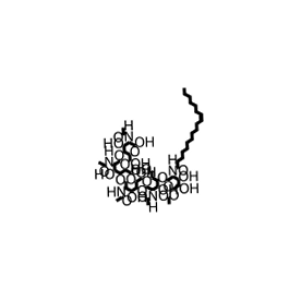 CCCCCC/C=C\CCCCCCCCCC(=O)NC1C(O)[C@H](O)C(OC(C)=O)O[C@H]1O[C@@H]1C(CO)O[C@@H](O[C@@H]2C(CO)O[C@@H](O[C@@H]3C(CO)O[C@@H](O[C@H]4C(CO)O[C@@H](O)C(NC(C)=O)C4O)C(NC(C)=O)C3O)C(NC(C)=O)C2O)C(NC(C)=O)C1O